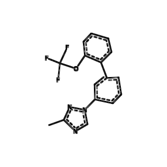 Cc1ncn(-c2cccc(-c3ccccc3OC(F)(F)F)c2)n1